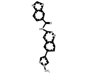 Cn1cc(-c2ccc3nnc(NC(=O)c4ccc5ncsc5c4)cc3c2)cn1